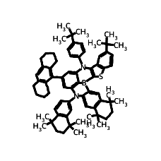 CC(C)(C)c1ccc(N2c3cc(-c4c5c(cc6c4CCCC6)CCCC5)cc4c3B(c3cc5c(cc3N4c3ccc4c(c3)C(C)(C)CCC4(C)C)C(C)(C)CCC5(C)C)c3sc4ccc(C(C)(C)C)cc4c32)cc1